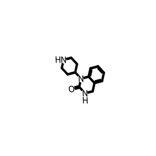 O=C1NCc2ccccc2N1C1CCNCC1